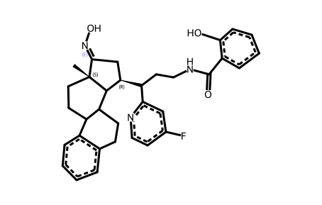 C[C@]12CCC3c4ccccc4CCC3C1[C@H](C(CCNC(=O)c1ccccc1O)c1cc(F)ccn1)C/C2=N\O